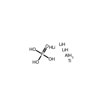 O=P(O)(O)O.[AlH3].[LiH].[LiH].[LiH].[Ti]